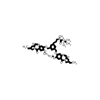 C/C=C1\C[C@H]2C=Nc3cc(OCc4cc(CCCN(C)C(=O)OC(C)(C)C)cc(COc5cc6c(cc5OC)C(=O)N5C/C(=C/C)C[C@H]5C=N6)c4)c(OC)cc3C(=O)N2C1